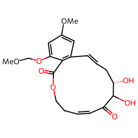 COCOc1cc(OC)cc2c1C(=O)OCC/C=C\C(=O)C(O)[C@@H](O)C/C=C/2